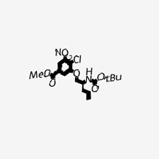 C=CC[C@@H](COc1cc(C(=O)OC)cc([N+](=O)[O-])c1Cl)NC(=O)OC(C)(C)C